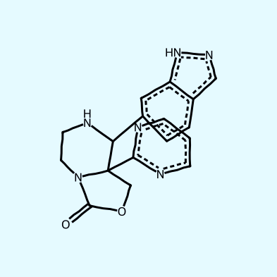 O=C1OCC2(c3ncccn3)C(c3ccc4cn[nH]c4c3)NCCN12